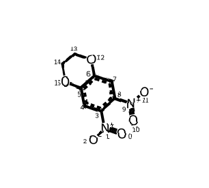 O=[N+]([O-])c1cc2c(cc1[N+](=O)[O-])OCCO2